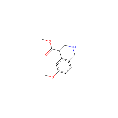 COC(=O)C1CNCc2ccc(OC)cc21